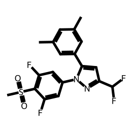 Cc1cc(C)cc(-c2cc(C(F)F)nn2-c2cc(F)c(S(C)(=O)=O)c(F)c2)c1